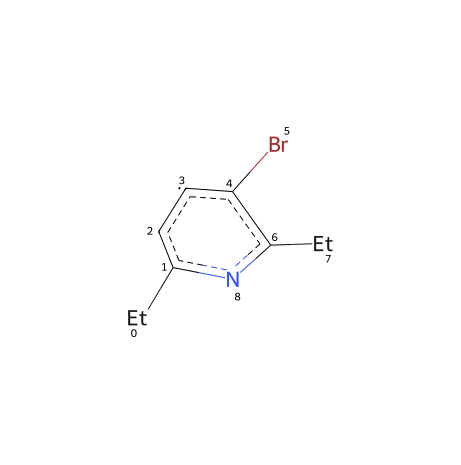 CCc1c[c]c(Br)c(CC)n1